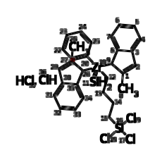 CC1=Cc2ccccc2[CH]1[Zr](=[SiH2])([CH2]CCC[Si](Cl)(Cl)Cl)([c]1ccccc1)[CH]1C(C)=Cc2ccccc21.Cl.Cl